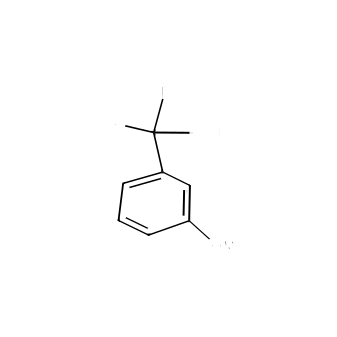 COc1cccc(C(F)(C=O)C(=O)O)c1